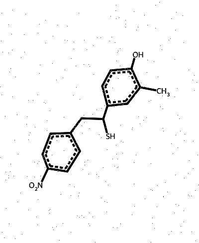 Cc1cc(C(S)Cc2ccc([N+](=O)[O-])cc2)ccc1O